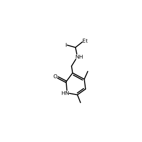 CCC(I)NCc1c(C)cc(C)[nH]c1=O